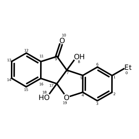 CCc1ccc2c(c1)C1(O)C(=O)c3ccccc3C1(O)O2